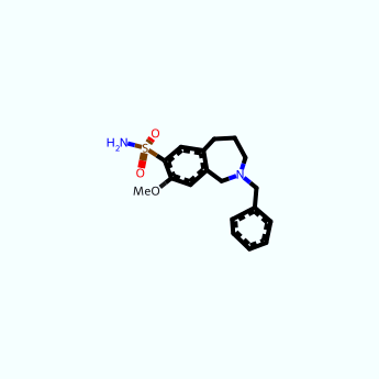 COc1cc2c(cc1S(N)(=O)=O)CCCN(Cc1ccccc1)C2